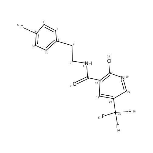 O=C(NCCc1ccc(F)cc1)c1cc(C(F)(F)F)cnc1Cl